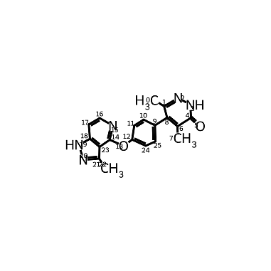 Cc1n[nH]c(=O)c(C)c1-c1ccc(Oc2nccc3[nH]nc(C)c23)cc1